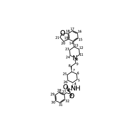 O=S(=O)(N[C@H]1CC[C@H](CCN2CCC(c3cccc4c3CCO4)CC2)CC1)c1ccccc1